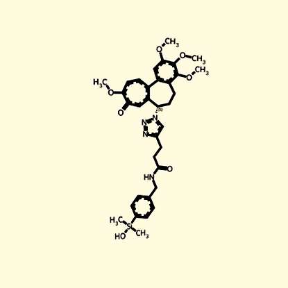 COc1cc2c(c(OC)c1OC)CC[C@H](n1cc(CCC(=O)NCc3ccc([Si](C)(C)O)cc3)nn1)c1cc(=O)c(OC)ccc1-2